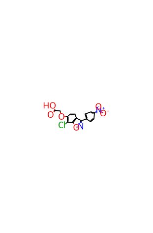 O=C(O)COc1ccc2c(-c3ccc([N+](=O)[O-])cc3)noc2c1Cl